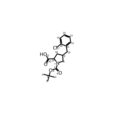 CC(C)(C)OC(=O)N1CC(Cc2ccccc2Cl)CC1C(=O)O